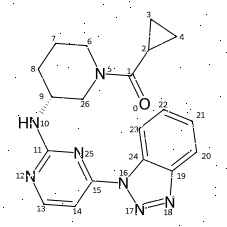 O=C(C1CC1)N1CCC[C@@H](Nc2nccc(-n3nnc4ccccc43)n2)C1